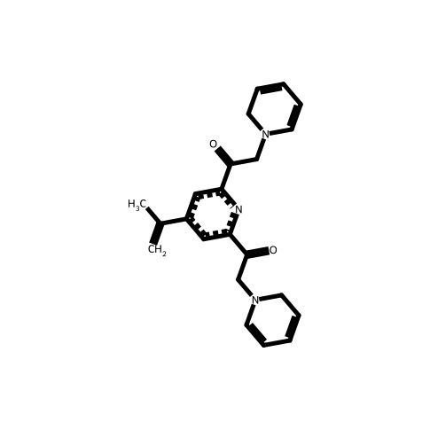 C=C(C)c1cc(C(=O)CN2C=CC=CC2)nc(C(=O)CN2C=CC=CC2)c1